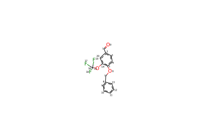 O=Cc1ccc(OCc2ccccc2)c(OC(F)(F)F)c1